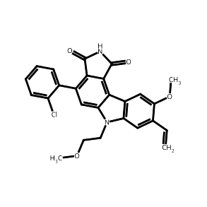 C=Cc1cc2c(cc1OC)c1c3c(c(-c4ccccc4Cl)cc1n2CCOC)C(=O)NC3=O